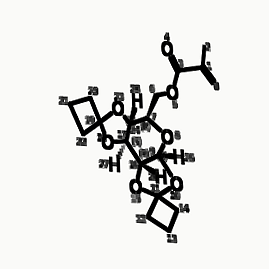 C=C(C)C(=O)OC[C@H]1O[C@@H]2OC3(CCC3)O[C@@H]2[C@H]2OC3(CCC3)O[C@@H]21